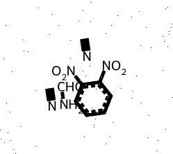 C#N.C#N.NC=O.O=[N+]([O-])c1ccccc1[N+](=O)[O-]